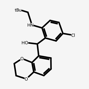 CC(C)(C)CNc1ccc(Cl)cc1C(O)c1cccc2c1OCCO2